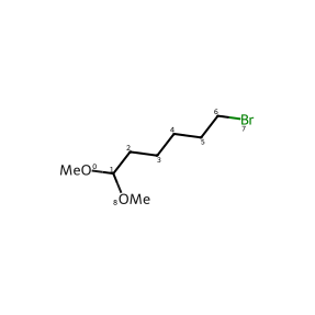 COC(CCCCCBr)OC